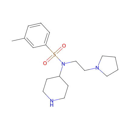 Cc1cccc(S(=O)(=O)N(CCN2CCCC2)C2CCNCC2)c1